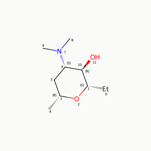 CC[C@@H]1O[C@H](C)C[C@H](N(C)C)[C@H]1O